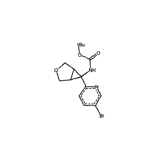 CC(C)(C)OC(=O)NC1(c2ccc(Br)cn2)C2COCC21